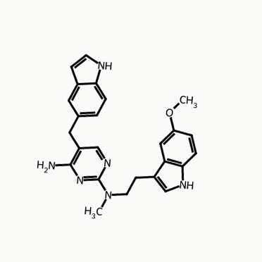 COc1ccc2[nH]cc(CCN(C)c3ncc(Cc4ccc5[nH]ccc5c4)c(N)n3)c2c1